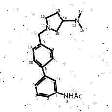 CC(=O)Nc1cccc(-c2ccc(CN3CCC(N(C)C)C3)cc2)c1